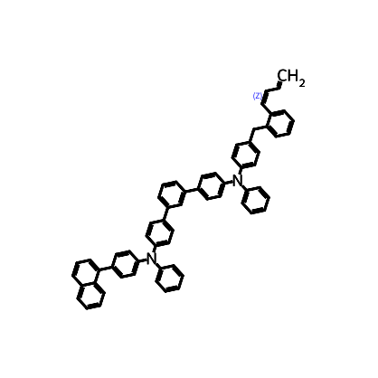 C=C/C=C\c1ccccc1Cc1ccc(N(c2ccccc2)c2ccc(-c3cccc(-c4ccc(N(c5ccccc5)c5ccc(-c6cccc7ccccc67)cc5)cc4)c3)cc2)cc1